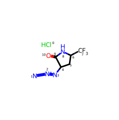 Cl.[N-]=[N+]=NC1CC(C(F)(F)F)NC1=O